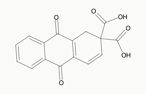 O=C1C2=C(CC(C(=O)O)(C(=O)O)C=C2)C(=O)c2ccccc21